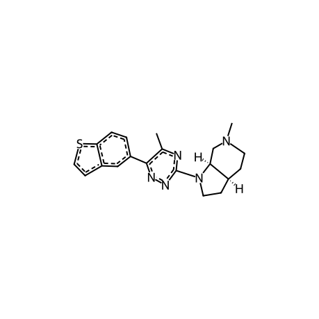 Cc1nc(N2CC[C@@H]3CCN(C)C[C@@H]32)nnc1-c1ccc2sccc2c1